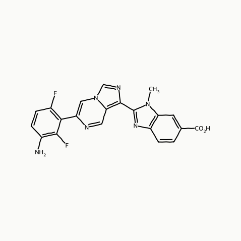 Cn1c(-c2ncn3cc(-c4c(F)ccc(N)c4F)ncc23)nc2ccc(C(=O)O)cc21